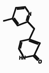 Cc1ccnc(Cc2cc[nH]c(=O)c2)c1